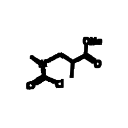 COC(=O)C(C)CN(C)C(=O)Cl